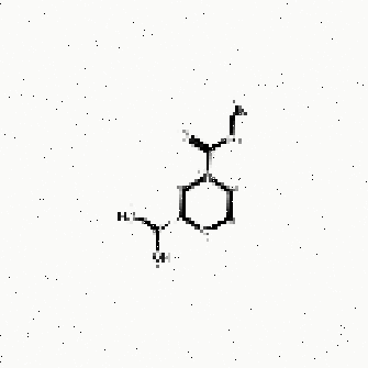 CC(O)[C@@H]1CN(C(=O)OC(C)(C)C)CCO1